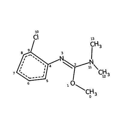 COC(=Nc1ccccc1Cl)N(C)C